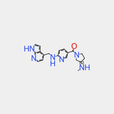 CN[C@H]1CCN(C(=O)c2ccc(NCc3ccnc4[nH]ccc34)nc2)C1